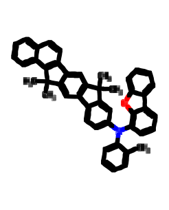 Cc1ccccc1N(c1ccc2c(c1)C(C)(C)c1cc3c(cc1-2)C(C)(C)c1c-3ccc2ccccc12)c1cccc2c1oc1ccccc12